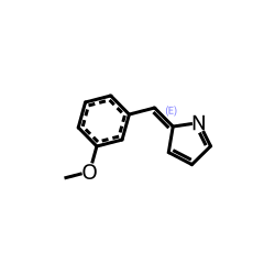 COc1cccc(/C=C2\C=CC=N2)c1